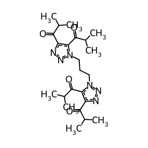 CC(C)C(=O)c1nnn(CCCn2nnc(C(=O)C(C)C)c2C(=O)C(C)C)c1C(=O)C(C)C